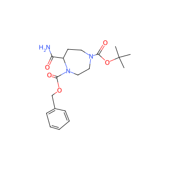 CC(C)(C)OC(=O)N1CCC(C(N)=O)N(C(=O)OCc2ccccc2)CC1